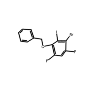 Fc1cc(F)c(OCc2ccccc2)c(I)c1Br